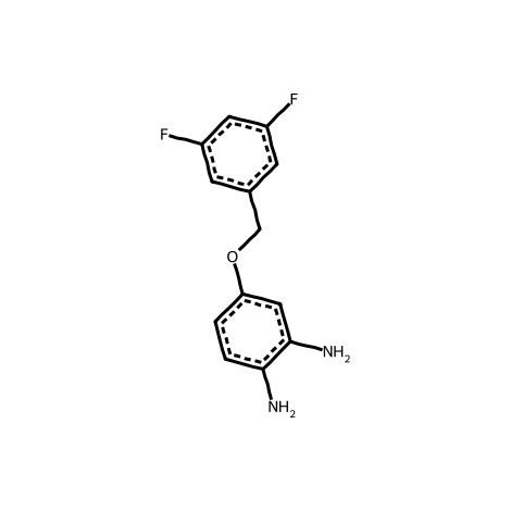 Nc1ccc(OCc2cc(F)cc(F)c2)cc1N